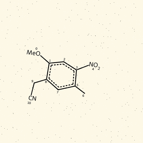 COc1cc([N+](=O)[O-])c(C)cc1CC#N